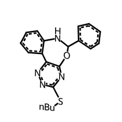 CCCCSc1nnc2c(n1)OC(c1ccccc1)Nc1ccccc1-2